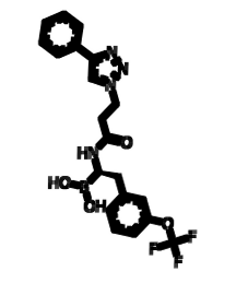 O=C(CCn1cc(-c2ccccc2)nn1)N[C@@H](Cc1cccc(OC(F)(F)F)c1)B(O)O